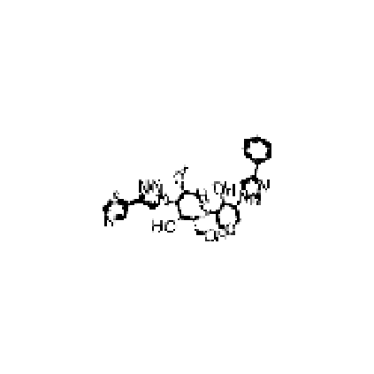 CO[C@H]1C[SH]([C@@H]2COC[C@H](n3cc(-c4ccccc4)nn3)[C@H]2O)[C@H](CO)[C@H](O)[C@@H]1n1cc(-c2cncs2)nn1